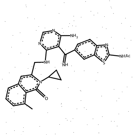 CC(=O)Nc1nc2ccc(C(=N)c3c(N)ncnc3NCc3cc4cccc(C)c4c(=O)n3C3CC3)cc2s1